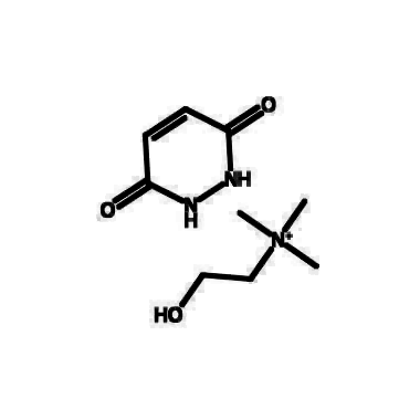 C[N+](C)(C)CCO.O=c1ccc(=O)[nH][nH]1